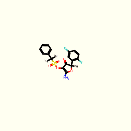 [2H]C1(c2cc(F)ccc2F)OC(N)=C(OS(=O)(=O)C([2H])([2H])c2ccccc2)C1=O